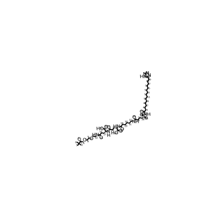 CC(C)(C)C(=O)COCCOCCNC(=O)CC[C@H](NC(=O)CC[C@H](NC(=O)CCCCCNC(=O)CCCS(=O)(=O)NC(=O)CCCCCCCCCCCCCCCc1nnn[nH]1)C(=O)O)C(=O)O